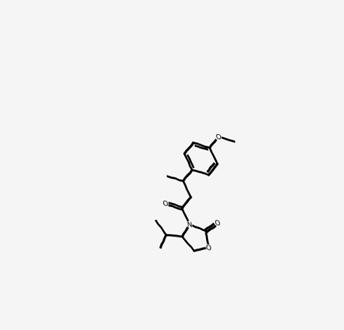 COc1ccc(C(C)CC(=O)N2C(=O)OCC2C(C)C)cc1